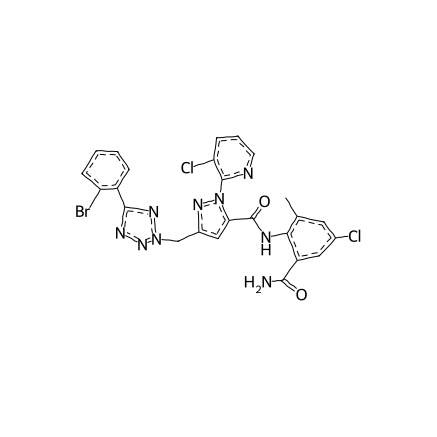 Cc1cc(Cl)cc(C(N)=O)c1NC(=O)c1cc(Cn2nnc(-c3ccccc3Br)n2)nn1-c1ncccc1Cl